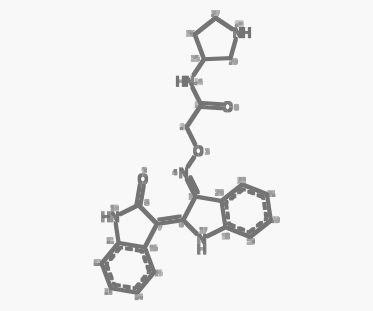 O=C(CO/N=C1/C(=C2\C(=O)Nc3ccccc32)Nc2ccccc21)NC1CCNC1